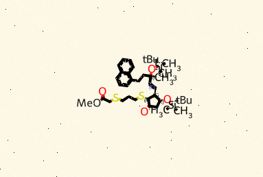 COC(=O)CSCCCS[C@H]1C(=O)C[C@@H](O[Si](C)(C)C(C)(C)C)[C@@H]1/C=C/[C@](C)(CCc1cccc2ccccc12)O[Si](C)(C)C(C)(C)C